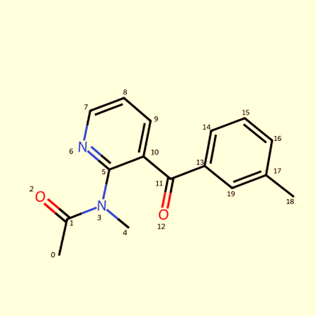 CC(=O)N(C)c1ncccc1C(=O)c1cccc(C)c1